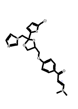 CN(C)/C=C/C(=O)c1ccc(OCC2COC(Cn3ccnc3)(c3ccc(Cl)s3)O2)cc1